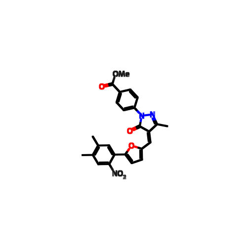 COC(=O)c1ccc(N2N=C(C)C(=Cc3ccc(-c4cc(C)c(C)cc4[N+](=O)[O-])o3)C2=O)cc1